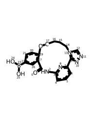 O=C1Nc2cccc(n2)-c2nncn2CCCCOc2ccc(B(O)O)cc21